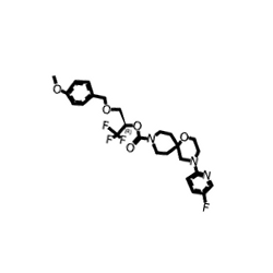 COc1ccc(COC[C@@H](OC(=O)N2CCC3(CC2)CN(c2ccc(F)cn2)CCO3)C(F)(F)F)cc1